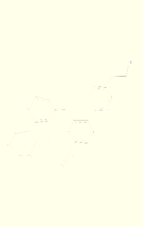 Cc1cc(Oc2cc(C#N)ccc2-c2ncc(CCN)cn2)cc(N2CCOC[C@H]2C)n1